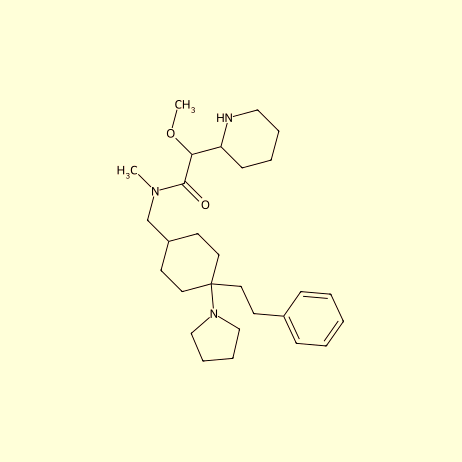 COC(C(=O)N(C)CC1CCC(CCc2ccccc2)(N2CCCC2)CC1)C1CCCCN1